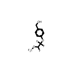 OCc1ccc(OC(F)(F)C(F)OC(F)(F)F)cc1